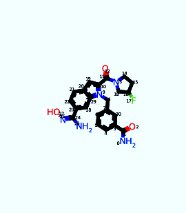 NC(=O)c1cccc(Cn2c(C(=O)N3CCC(F)C3)cc3ccc(/C(N)=N\O)cc32)c1